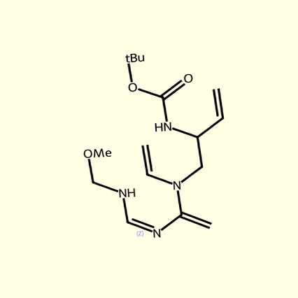 C=CC(CN(C=C)C(=C)/N=C\NCOC)NC(=O)OC(C)(C)C